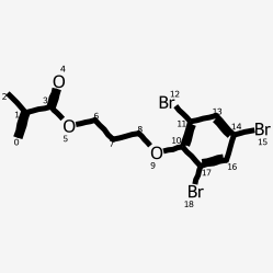 C=C(C)C(=O)OCCCOc1c(Br)cc(Br)cc1Br